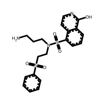 NCCCN(CCS(=O)(=O)c1ccccc1)S(=O)(=O)c1cccc2c(O)nccc12